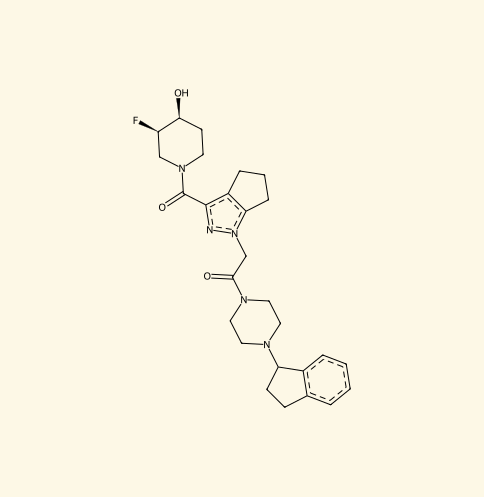 O=C(Cn1nc(C(=O)N2CC[C@H](O)[C@H](F)C2)c2c1CCC2)N1CCN(C2CCc3ccccc32)CC1